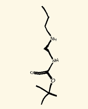 CCCNCNC(=O)OC(C)(C)C